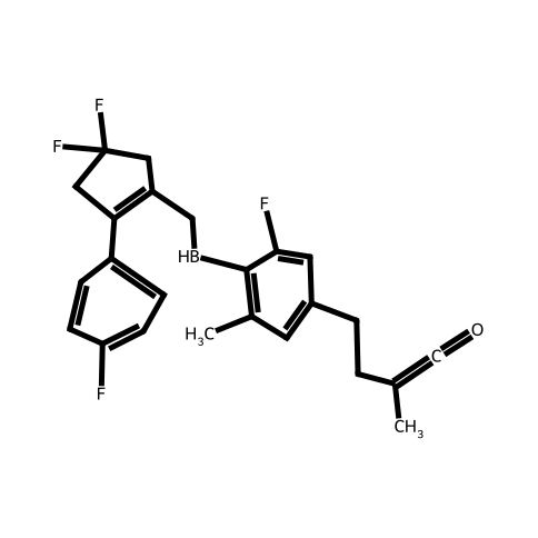 CC(=C=O)CCc1cc(C)c(BCC2=C(c3ccc(F)cc3)CC(F)(F)C2)c(F)c1